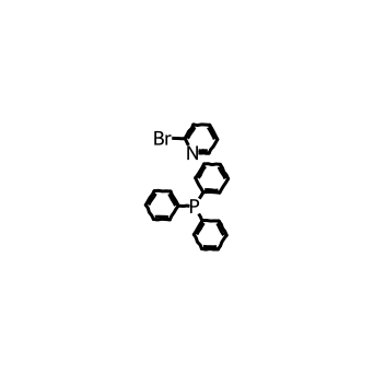 Brc1ccccn1.c1ccc(P(c2ccccc2)c2ccccc2)cc1